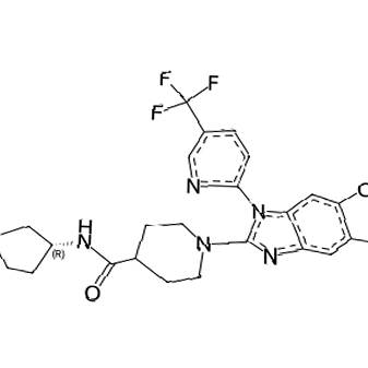 Cc1cc2nc(N3CCC(C(=O)N[C@@H]4CCOC4)CC3)n(-c3ccc(C(F)(F)F)cn3)c2cc1Cl